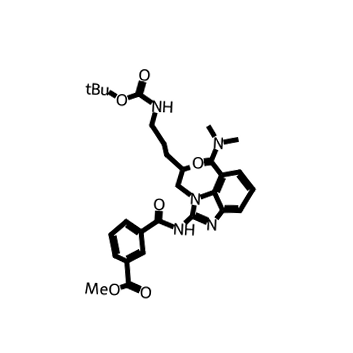 COC(=O)c1cccc(C(=O)Nc2nc3cccc(C(=O)N(C)C)c3n2CC(C)CCCNC(=O)OC(C)(C)C)c1